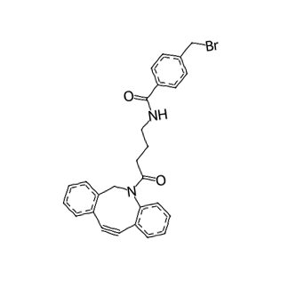 O=C(NCCCC(=O)N1Cc2ccccc2C#Cc2ccccc21)c1ccc(CBr)cc1